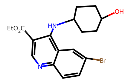 CCOC(=O)c1cnc2ccc(Br)cc2c1NC1CCC(O)CC1